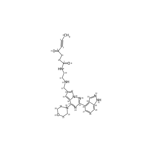 CC#CC(=O)CCC(=O)NCCNCc1cc2c(N3CCOCC3)nc(-c3cccc4[nH]ncc34)nn2c1